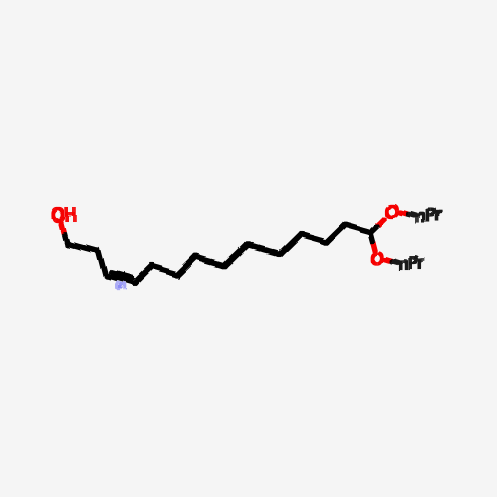 CCCOC(CCCCCCCCC/C=C\CCO)OCCC